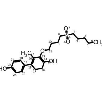 CCCCCS(=O)(=O)CCCCOC1=C(O)C[CH]C(c2ccc(O)cc2)=C1C